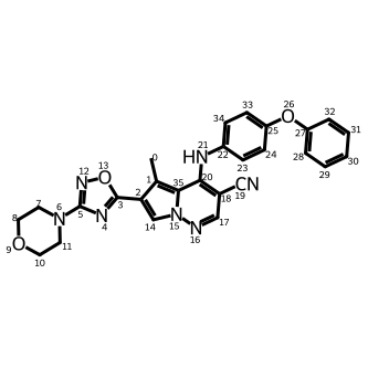 Cc1c(-c2nc(N3CCOCC3)no2)cn2ncc(C#N)c(Nc3ccc(Oc4ccccc4)cc3)c12